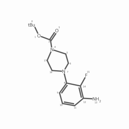 CC(C)(C)OC(=O)N1CCN(c2cccc(N)c2F)CC1